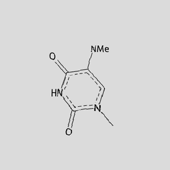 CNc1cn(C)c(=O)[nH]c1=O